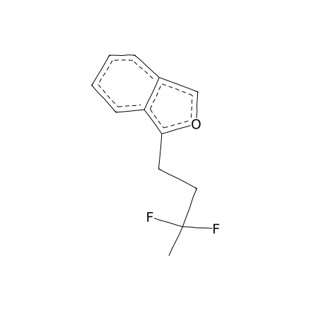 CC(F)(F)CCc1occ2ccccc12